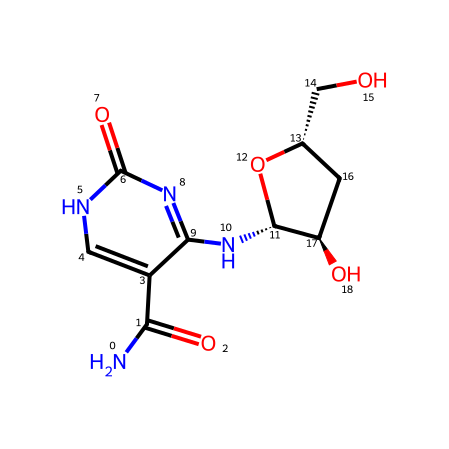 NC(=O)c1c[nH]c(=O)nc1N[C@@H]1O[C@H](CO)C[C@H]1O